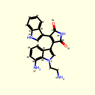 NCCn1cc(C2=C(c3c[nH]c4ccccc34)C(=O)NC2=O)c2cccc(N)c21